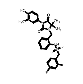 CC1(C)C(=O)N(c2ccc(C#N)c(C(F)(F)F)c2)C(=O)N1Cc1ccccc1NS(=O)(=O)Cc1ccc(F)cc1F